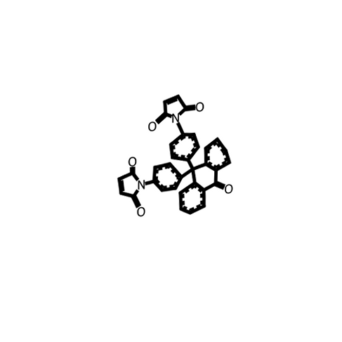 O=C1c2ccccc2C(c2ccc(N3C(=O)C=CC3=O)cc2)(c2ccc(N3C(=O)C=CC3=O)cc2)c2ccccc21